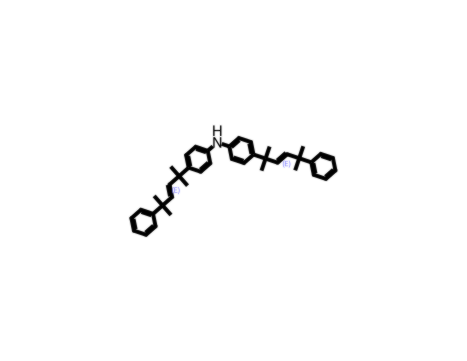 CC(C)(/C=C/C(C)(C)c1ccc(Nc2ccc(C(C)(C)/C=C/C(C)(C)c3ccccc3)cc2)cc1)c1ccccc1